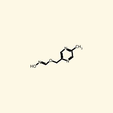 Cc1cnc(COC=NO)cn1